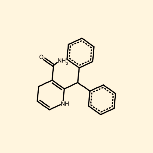 NC(=O)C1=C(C(c2ccccc2)c2ccccc2)NC=CC1